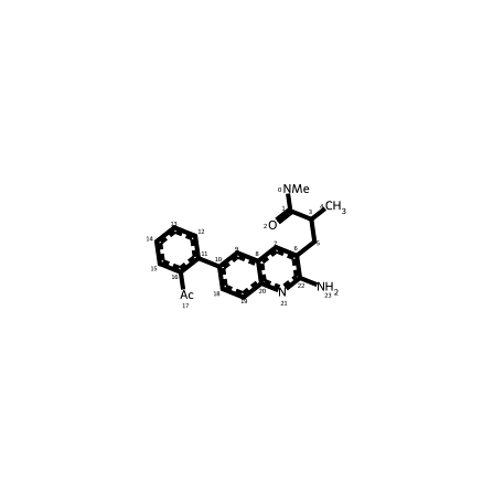 CNC(=O)C(C)Cc1cc2cc(-c3ccccc3C(C)=O)ccc2nc1N